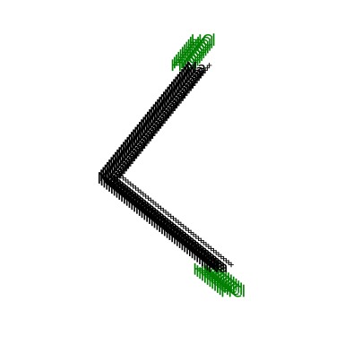 Cl.Cl.Cl.Cl.Cl.Cl.Cl.Cl.Cl.Cl.Cl.Cl.Cl.Cl.Cl.Cl.Cl.Cl.Cl.Cl.Cl.Cl.Cl.[Na+].[Na+].[Na+].[Na+].[Na+].[Na+].[Na+].[Na+].[Na+].[Na+].[Na+].[Na+].[Na+].[Na+].[Na+].[Na+].[Na+].[Na+].[Na+].[Na+].[Na+].[Na+].[Na+].[Na+].[Na+].[Na+].[Na+].[Na+].[Na+].[Na+].[Na+].[Na+].[Na+].[Na+].[Na+].[Na+].[Na+].[Na+].[Na+].[Na+].[Na+].[Na+].[Na+].[Na+].[Na+].[Na+].[Na+].[Na+].[Na+].[Na+].[Na+].[Na+].[Na+].[Na+].[Na+].[Na+].[Na+].[Na+].[Na+].[Na+].[Na+].[Na+].[Na+].[Na+].[Na+].[Na+].[Na+].[Na+].[Na+].[Na+].[Na+].[Na+].[Na+].[Na+].[Na+].[Na+].[Na+].[Na+].[Na+].[Na+].[Na+].[Na+].[Na+].[Na+].[Na+].[Na+].[Na+].[Na+].[Na+]